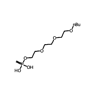 C=P(O)(O)OCCOCCOCCOCCCC